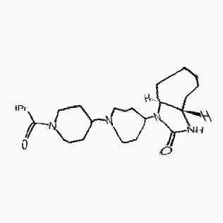 CC(C)C(=O)N1CCC(N2CCC(N3C(=O)N[C@H]4CCCC[C@@H]43)CC2)CC1